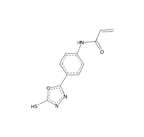 C=CC(=O)Nc1ccc(-c2nnc(S)o2)cc1